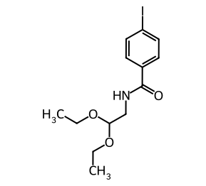 CCOC(CNC(=O)c1ccc(I)cc1)OCC